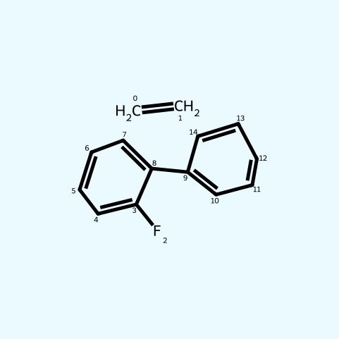 C=C.Fc1ccccc1-c1ccccc1